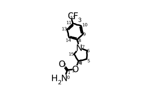 NC(=O)O[C@@H]1CCN(c2ccc(C(F)(F)F)cc2)C1